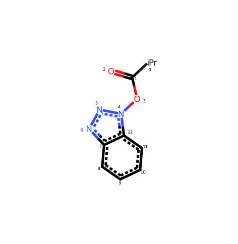 CC(C)C(=O)On1nnc2ccccc21